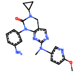 COc1ccc(N(C)c2ncc3c(n2)N(c2cccc(N)c2)C(=O)N(C2CC2)C3)cn1